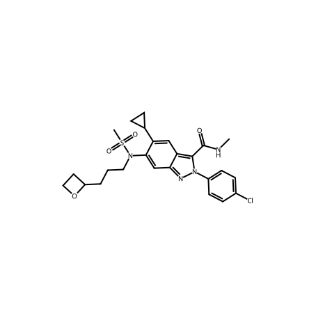 CNC(=O)c1c2cc(C3CC3)c(N(CCCC3CCO3)S(C)(=O)=O)cc2nn1-c1ccc(Cl)cc1